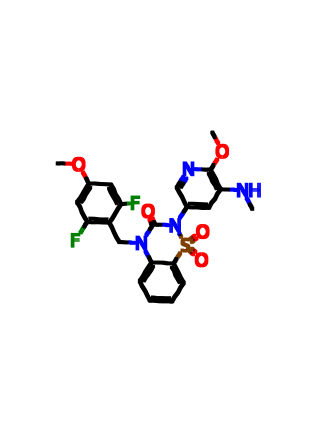 CNc1cc(N2C(=O)N(Cc3c(F)cc(OC)cc3F)c3ccccc3S2(=O)=O)cnc1OC